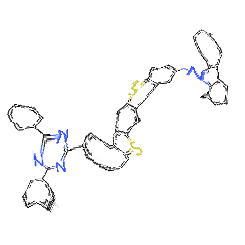 c1ccc(-c2nc(-c3ccccc3)nc(-c3ccc4sc5cc6c(cc5c4c3)sc3ccc(-n4c5ccccc5c5ccccc54)cc36)n2)cc1